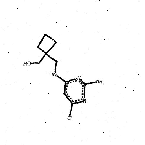 Nc1nc(Cl)cc(NCC2(CO)CCC2)n1